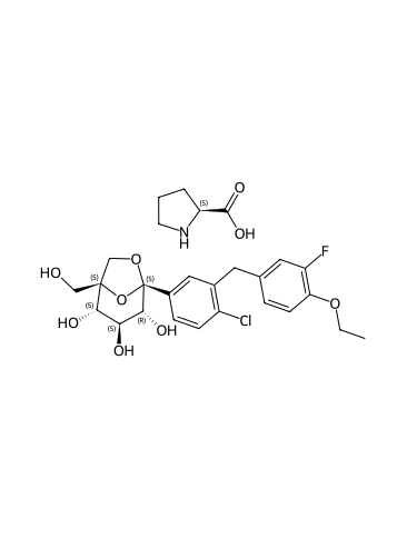 CCOc1ccc(Cc2cc([C@]34OC[C@](CO)(O3)[C@@H](O)[C@H](O)[C@H]4O)ccc2Cl)cc1F.O=C(O)[C@@H]1CCCN1